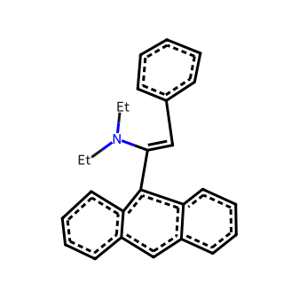 CCN(CC)C(=Cc1ccccc1)c1c2ccccc2cc2ccccc12